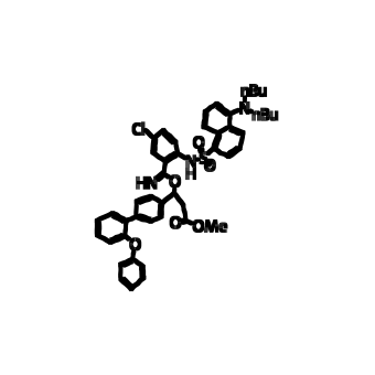 CCCCN(CCCC)c1cccc2c(S(=O)(=O)Nc3ccc(Cl)cc3C(=N)OC(CC(=O)OC)c3ccc(-c4ccccc4Oc4ccccc4)cc3)cccc12